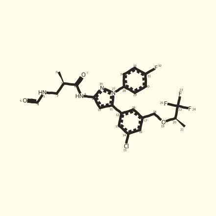 C[C@H](CNC=O)C(=O)Nc1cc(-c2cc(Cl)cc(CO[C@H](C)C(F)(F)F)c2)n(-c2ccc(F)cc2)n1